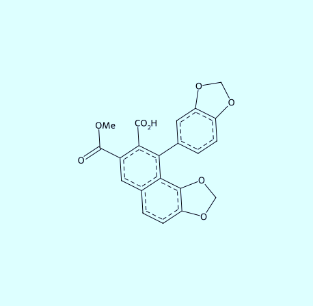 COC(=O)c1cc2ccc3c(c2c(-c2ccc4c(c2)OCO4)c1C(=O)O)OCO3